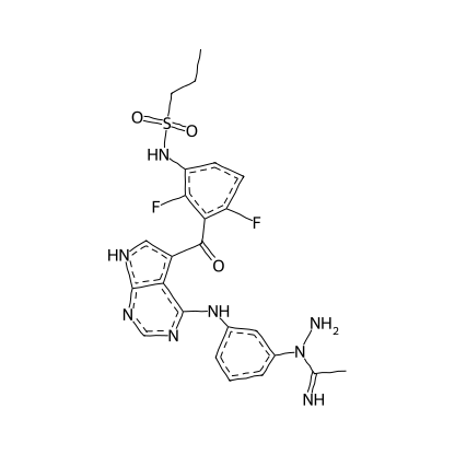 CCCS(=O)(=O)Nc1ccc(F)c(C(=O)c2c[nH]c3ncnc(Nc4cccc(N(N)C(C)=N)c4)c23)c1F